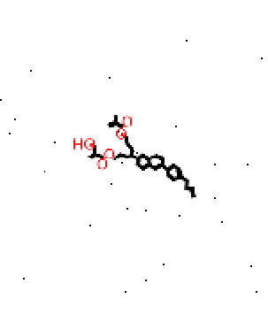 C=CCCc1ccc(-c2ccc3cc(C(CCCOC(=O)C(=C)C)CCCOC(=O)C(=C)CO)ccc3c2)cc1